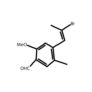 COc1cc(/C=C(\C)Br)c(C)cc1C=O